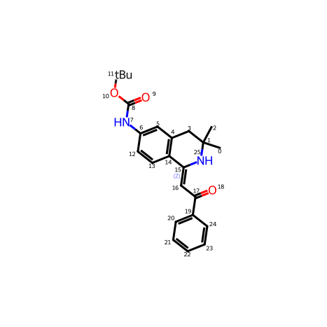 CC1(C)Cc2cc(NC(=O)OC(C)(C)C)ccc2/C(=C/C(=O)c2ccccc2)N1